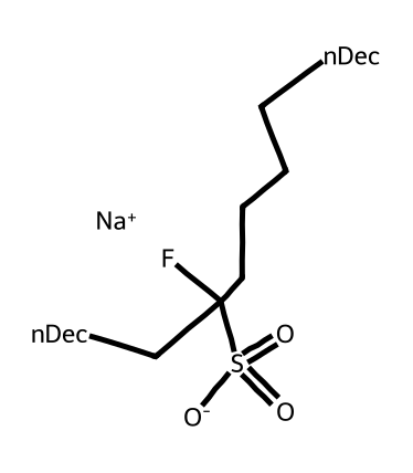 CCCCCCCCCCCCCCC(F)(CCCCCCCCCCC)S(=O)(=O)[O-].[Na+]